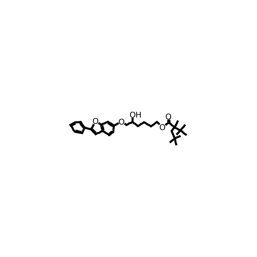 CC(C)(C)CC(C)(C(=O)OCCCCC(O)COc1ccc2cc(-c3ccccc3)oc2c1)C(C)(C)C